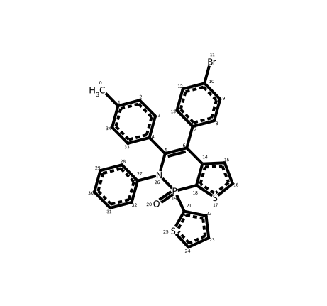 Cc1ccc(C2=C(c3ccc(Br)cc3)c3ccsc3P(=O)(c3cccs3)N2c2ccccc2)cc1